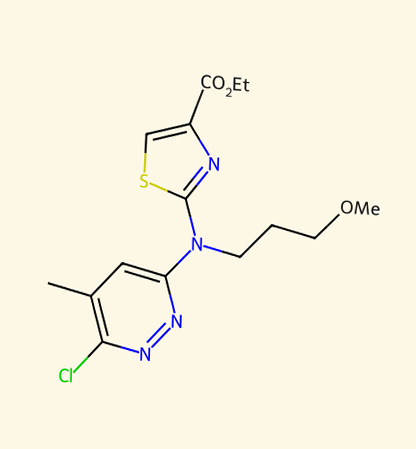 CCOC(=O)c1csc(N(CCCOC)c2cc(C)c(Cl)nn2)n1